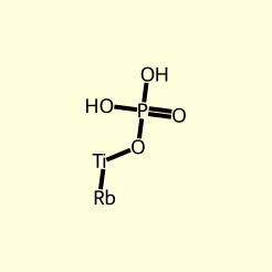 O=P(O)(O)[O][Ti][Rb]